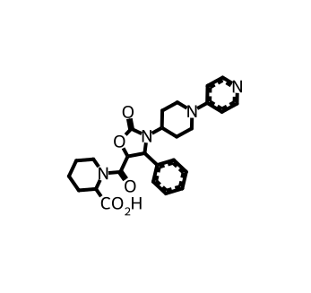 O=C(O)C1CCCCN1C(=O)C1OC(=O)N(C2CCN(c3ccncc3)CC2)C1c1ccccc1